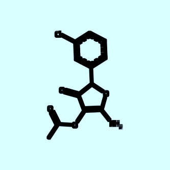 CC(=O)OC1=C(N)OC(c2cccc(Cl)c2)C1=O